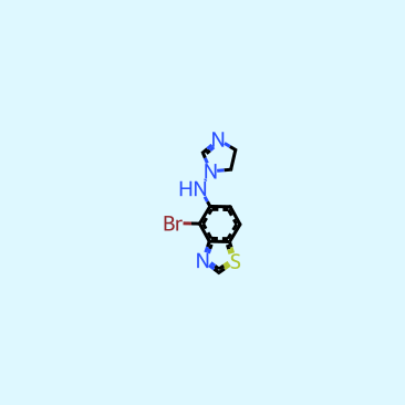 Brc1c(NN2C=NCC2)ccc2scnc12